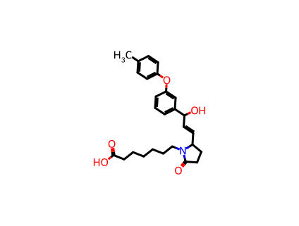 Cc1ccc(Oc2cccc(C(O)C=CC3CCC(=O)N3CCCCCCC(=O)O)c2)cc1